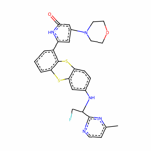 Cc1ccnc(C(CF)Nc2ccc3c(c2)Sc2cccc(-c4cc(N5CCOCC5)cc(=O)[nH]4)c2S3)n1